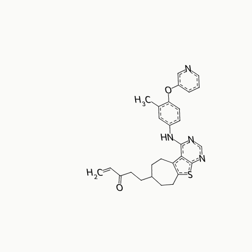 C=CC(=O)CCC1CCc2sc3ncnc(Nc4ccc(Oc5cccnc5)c(C)c4)c3c2CC1